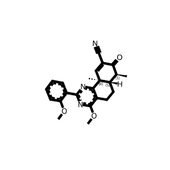 COc1ccccc1-c1nc(OC)c2c(n1)[C@@]1(C)C=C(C#N)C(=O)[C@@H](C)[C@@H]1CC2